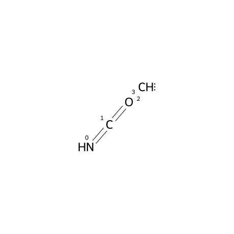 N=C=O.[CH]